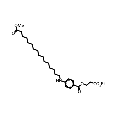 CCOC(=O)CCOC(=O)c1ccc(NCCCCCCCCCCCCCCCC(=O)OC)cc1